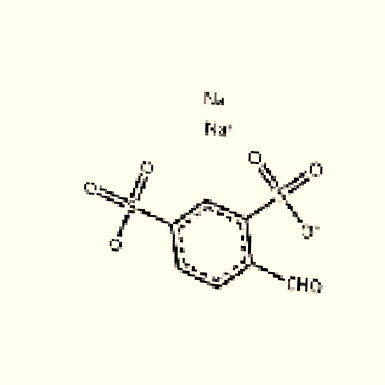 O=Cc1ccc(S(=O)(=O)[O-])cc1S(=O)(=O)[O-].[Na+].[Na+]